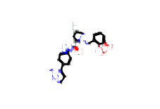 Cn1nccc1-c1ccc(NC(=O)[C@H]2C[C@H](F)CN2Cc2cccc3c2OCO3)cc1